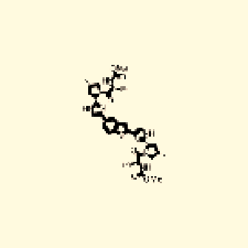 COC(=O)N[C@H](C(=O)N1C[C@@H](C)C[C@H]1c1nc(-c2ccc3sc(-c4c[nH]c([C@@H]5C[C@H](C)CN5C(=O)[C@@H](NC(=O)OC)C(C)C)n4)cc3c2)c[nH]1)C(C)C